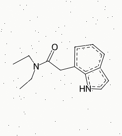 CCN(CC)C(=O)Cc1cccc2cc[nH]c12